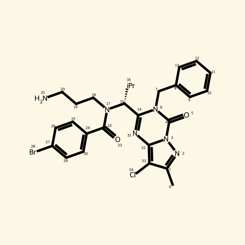 Cc1nn2c(=O)n(Cc3ccccc3)c([C@@H](C(C)C)N(CCCN)C(=O)c3ccc(Br)cc3)nc2c1Cl